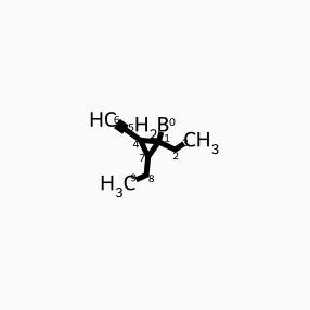 BC1(CC)C(C#C)C1CC